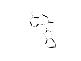 O=c1ccc2c(Cl)cccc2n1-c1nc2ccccc2[nH]1